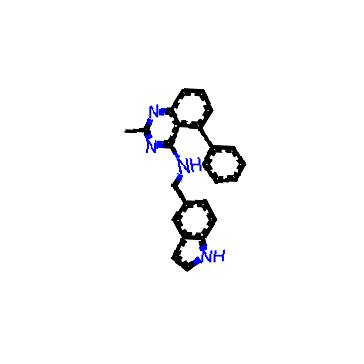 Cc1nc(NCc2ccc3[nH]ccc3c2)c2c(-c3ccccc3)cccc2n1